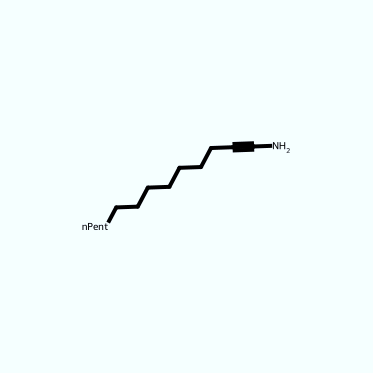 CCCCCCCCCCCCC#CN